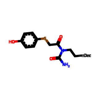 CCCCCCCCCCCCN(C(N)=O)C(=O)CSc1ccc(O)cc1